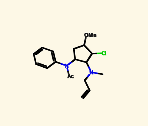 C=CCN(C)C1C(Cl)C(OC)CC1N(C(C)=O)c1ccccc1